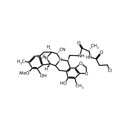 COc1c(C)cc2c(c1O)[C@H]1C3Cc4c(O)c(C)c5c(c4[C@H](CNC(=O)[C@H](C)NC(=O)CCCl)N3[C@@H](C#N)[C@H](C2)N1C)OCO5